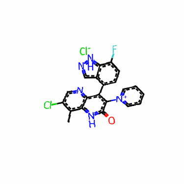 Cc1c(Cl)cnc2c(-c3ccc(F)c4[nH]ncc34)c(-[n+]3ccccc3)c(=O)[nH]c12.[Cl-]